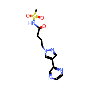 CS(=O)(=O)NC(=O)CCCn1cc(-c2cnccn2)cn1